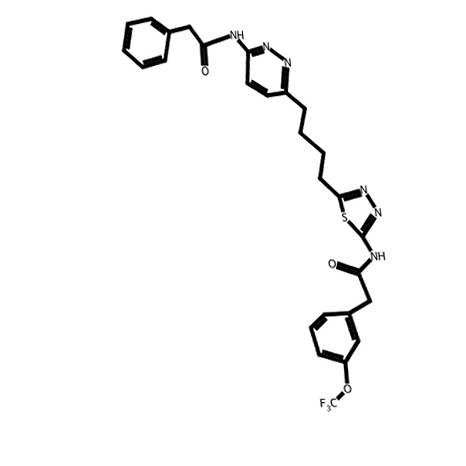 O=C(Cc1ccccc1)Nc1ccc(CCCCc2nnc(NC(=O)Cc3cccc(OC(F)(F)F)c3)s2)nn1